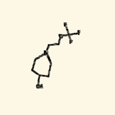 OC1CCN(CCOC(F)(F)F)CC1